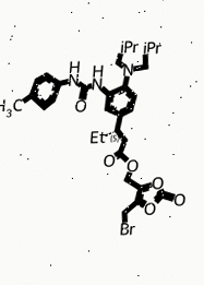 CC[C@@H](CC(=O)OCc1oc(=O)oc1CBr)c1ccc(N(CC(C)C)CC(C)C)c(NC(=O)Nc2ccc(C)cc2)c1